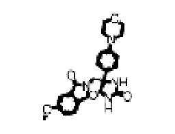 COc1ccc2c(c1)C(=O)N(C[C@@]1(c3ccc(N4CCOCC4)cc3)NC(=O)NC1=O)C2